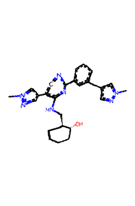 Cn1cc(-c2cccc(-c3ncc(-c4cnn(C)c4)c(NC[C@@H]4CCCC[C@H]4O)n3)c2)cn1